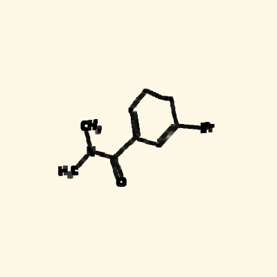 CC(C)C1=CC(C(=O)N(C)C)=CCC1